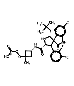 CC(C)(C)C[C@H]1N[C@@H](C(=O)N[C@H]2C[C@@](C)(OO[PH](=O)O)C2)[C@H](c2cccc(Cl)c2F)[C@@]12C(=O)Nc1cc(Cl)ccc12